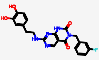 O=c1[nH]c2nc(NCCc3ccc(O)c(O)c3)ncc2c(=O)n1Cc1cccc(F)c1